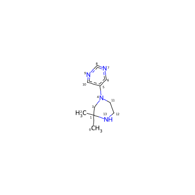 CC1(C)CN(c2cncnc2)CCN1